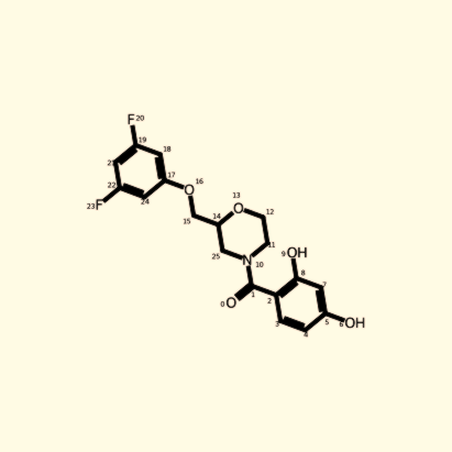 O=C(c1ccc(O)cc1O)N1CCOC(COc2cc(F)cc(F)c2)C1